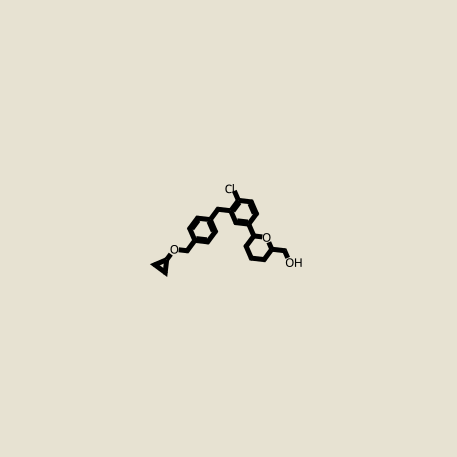 OCC1CCCC(c2ccc(Cl)c(Cc3ccc(COC4CC4)cc3)c2)O1